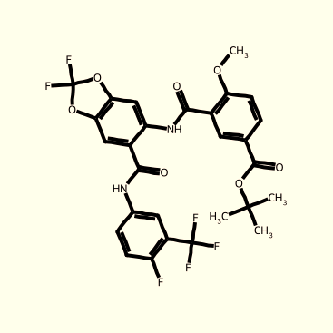 COc1ccc(C(=O)OC(C)(C)C)cc1C(=O)Nc1cc2c(cc1C(=O)Nc1ccc(F)c(C(F)(F)F)c1)OC(F)(F)O2